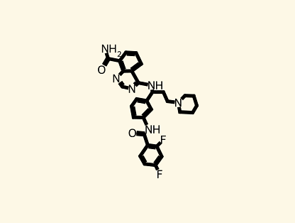 NC(=O)c1cccc2c(NC(CCN3CCCCC3)c3cccc(NC(=O)c4ccc(F)cc4F)c3)ncnc12